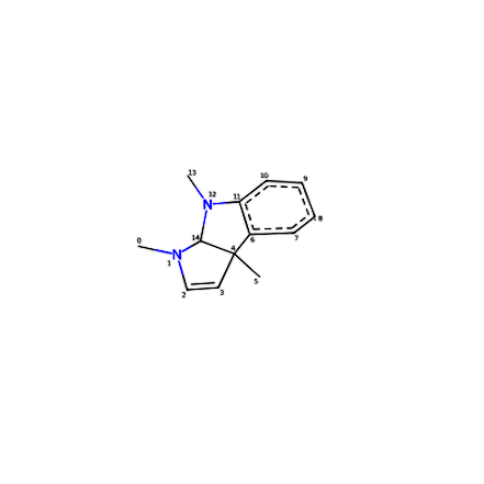 CN1C=CC2(C)c3c[c]ccc3N(C)C12